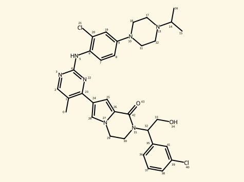 Cc1cnc(Nc2ccc(N3CCN(C(C)C)CC3)cc2Cl)nc1-c1cc2n(c1)CCN(C(CO)c1cccc(Cl)c1)C2=O